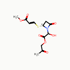 COC(=O)C=CS[C@@H]1CC(=O)N1C(O)C(=O)OCC(C)=O